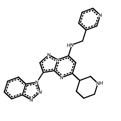 c1cncc(CNc2cc(C3CCCNC3)nc3c(-n4nnc5ccccc54)cnn23)c1